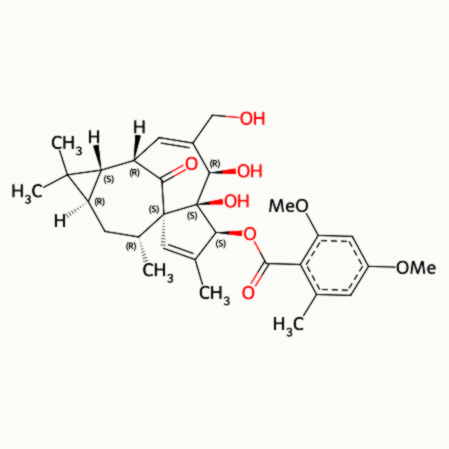 COc1cc(C)c(C(=O)O[C@H]2C(C)=C[C@]34C(=O)[C@@H](C=C(CO)[C@@H](O)[C@]23O)[C@@H]2[C@@H](C[C@H]4C)C2(C)C)c(OC)c1